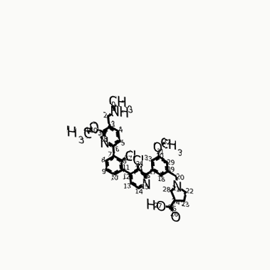 CNCc1ccc(-c2cccc(-c3ccnc(-c4cc(CN5CCC(C(=O)O)C5)cc(OC)c4)c3Cl)c2Cl)nc1OC